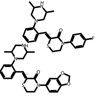 CC1CN(c2ccccc2/C=C2\SCCN(c3ccc(F)cc3)C2=O)CC(C)N1.CC1CN(c2ccccc2/C=C2\SCCN(c3ccc4c(c3)OCO4)C2=O)C(C)CN1